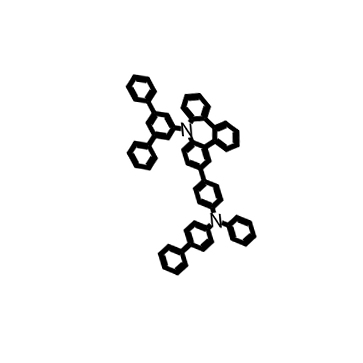 c1ccc(-c2ccc(N(c3ccccc3)c3ccc(-c4ccc5c(c4)-c4ccccc4-c4ccccc4N5c4cc(-c5ccccc5)cc(-c5ccccc5)c4)cc3)cc2)cc1